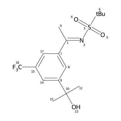 C/C(=N\S(=O)(=O)C(C)(C)C)c1cc(C(C)(C)O)cc(C(F)(F)F)c1